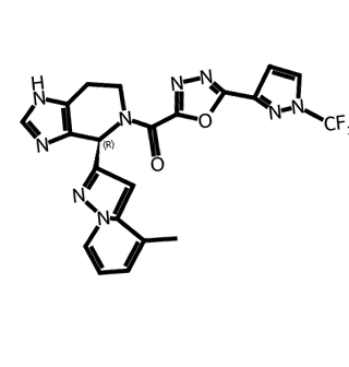 Cc1cccn2nc([C@H]3c4nc[nH]c4CCN3C(=O)c3nnc(-c4ccn(C(F)(F)F)n4)o3)cc12